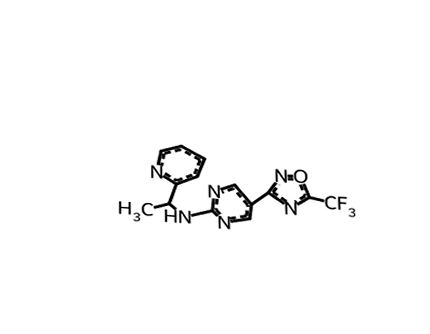 CC(Nc1ncc(-c2noc(C(F)(F)F)n2)cn1)c1ccccn1